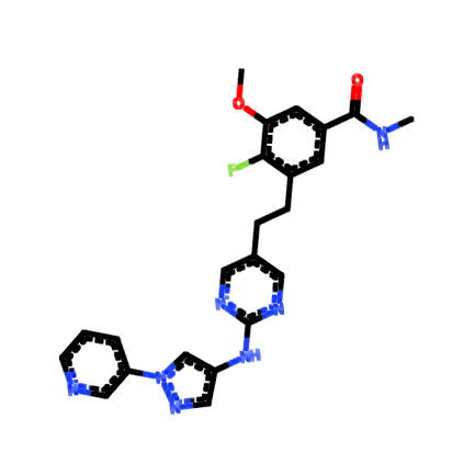 CNC(=O)c1cc(CCc2cnc(Nc3cnn(-c4cccnc4)c3)nc2)c(F)c(OC)c1